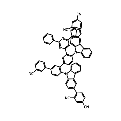 N#Cc1cccc(-c2ccc(-n3c4ccccc4c4cc(-c5ccc(C#N)cc5C#N)ccc43)c(-c3ccc(-n4c5ccccc5c5cc(-c6ccc(C#N)cc6C#N)ccc54)c(-c4nc(-c5ccccc5)nc(-c5ccccc5)n4)c3)c2)c1